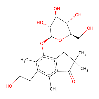 Cc1c(CCO)c(C)c2c(c1O[C@@H]1O[C@H](CO)[C@@H](O)[C@H](O)[C@H]1O)CC(C)(C)C2=O